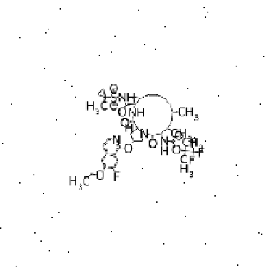 CCOc1cc2ccnc(O[C@@H]3C[C@H]4C(=O)N[C@]5(C(=O)NS(=O)(=O)C6(C)CC6)CC5/C=C\CC[C@@H](C)C[C@@H](C)[C@H](NC(=O)OC(C)(C)C(F)(F)F)C(=O)N4C3)c2cc1F